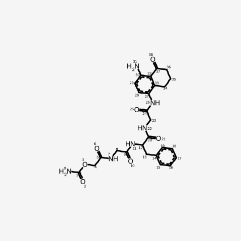 NC(=O)OCC(=O)NCC(=O)NC(Cc1ccccc1)C(=O)NCC(=O)Nc1ccc(N)c2c1CCCC2=O